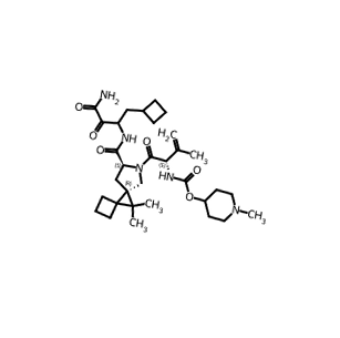 C=C(C)[C@H](NC(=O)OC1CCN(C)CC1)C(=O)N1C[C@]2(C[C@H]1C(=O)NC(CC1CCC1)C(=O)C(N)=O)C(C)(C)C21CCC1